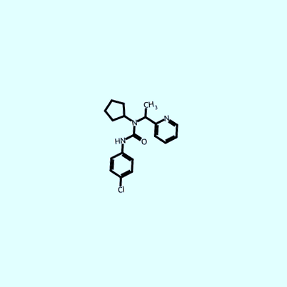 CC(c1ccccn1)N(C(=O)Nc1ccc(Cl)cc1)C1CCCC1